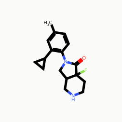 Cc1ccc(N2CC3CNCCC3(F)C2=O)c(C2CC2)c1